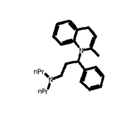 CCCN(CCC)CCC(c1ccccc1)N1C(C)=CCc2ccccc21